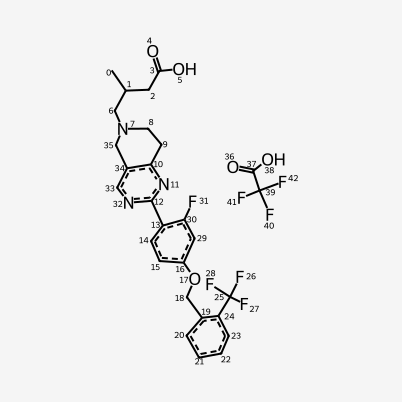 CC(CC(=O)O)CN1CCc2nc(-c3ccc(OCc4ccccc4C(F)(F)F)cc3F)ncc2C1.O=C(O)C(F)(F)F